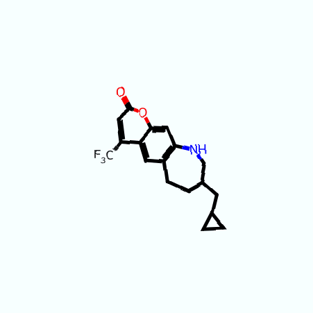 O=c1cc(C(F)(F)F)c2cc3c(cc2o1)NCC(CC1CC1)CC3